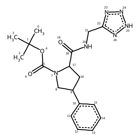 CC(C)(C)OC(=O)N1CC(c2ccccc2)CC1C(=O)NCc1nn[nH]n1